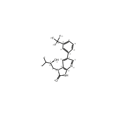 CC(C)[C@@H](O)Cn1c(=O)[nH]c2ncc(-c3cccc(C(F)(F)F)c3)cc21